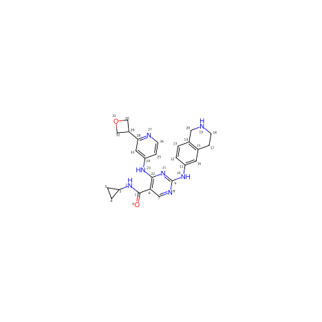 O=C(NC1CC1)c1cnc(Nc2ccc3c(c2)CCNC3)nc1Nc1ccnc(C2COC2)c1